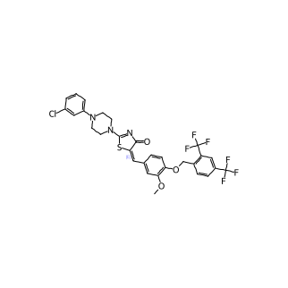 COc1cc(/C=C2/SC(N3CCN(c4cccc(Cl)c4)CC3)=NC2=O)ccc1OCc1ccc(C(F)(F)F)cc1C(F)(F)F